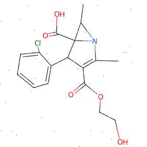 CC1=C(C(=O)OCCO)C(c2ccccc2Cl)C2(C(=O)O)C(C)N12